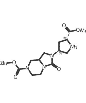 COC(=O)[C@H]1C[C@H](N2CC3CN(C(=O)OC(C)(C)C)CCN3C2=O)CN1